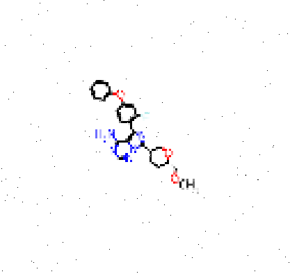 COC[C@@H]1CC[C@@H](c2nc(-c3ccc(Oc4ccccc4)cc3F)c3c(N)ncnn23)CO1